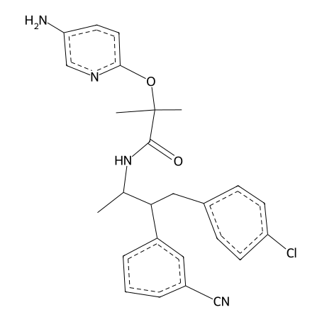 CC(NC(=O)C(C)(C)Oc1ccc(N)cn1)C(Cc1ccc(Cl)cc1)c1cccc(C#N)c1